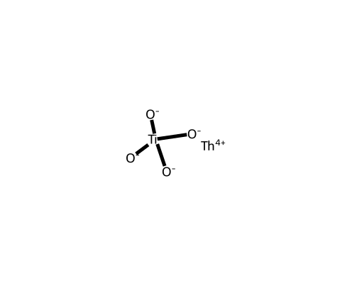 [O-][Ti]([O-])([O-])[O-].[Th+4]